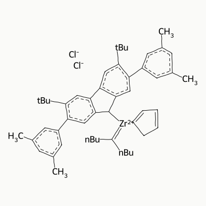 CCCC[C](CCCC)=[Zr+2]([C]1=CC=CC1)[CH]1c2cc(-c3cc(C)cc(C)c3)c(C(C)(C)C)cc2-c2cc(C(C)(C)C)c(-c3cc(C)cc(C)c3)cc21.[Cl-].[Cl-]